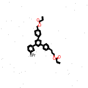 C=CC(=O)OCCCc1ccc(-c2cc(-c3ccc(COC(=O)C=C)cc3)cc(-c3cccc(CCC)c3)c2)cc1